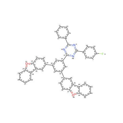 Fc1ccc(-c2nc(-c3ccccc3)nc(-c3cc(-c4ccc5oc6ccccc6c5c4)cc(-c4ccc5oc6ccccc6c5c4)c3)n2)cc1